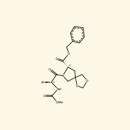 COC(=O)N[C@H](C(=O)N1CC2(COCO2)C[C@H]1C(=O)OCc1ccccc1)C(C)C